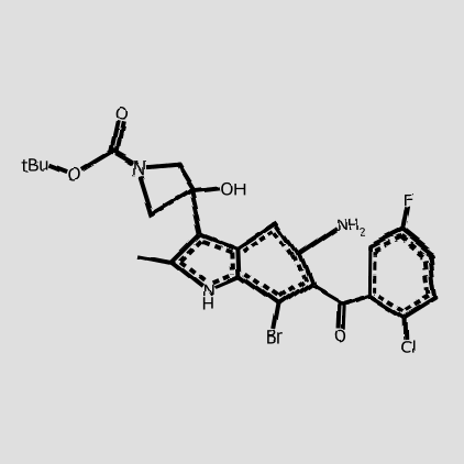 Cc1[nH]c2c(Br)c(C(=O)c3cc(F)ccc3Cl)c(N)cc2c1C1(O)CN(C(=O)OC(C)(C)C)C1